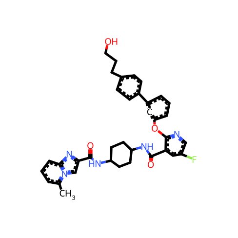 Cc1cccc2nc(C(=O)NC3CCC(NC(=O)c4cc(F)cnc4Oc4cccc(-c5ccc(CCCO)cc5)c4)CC3)cn12